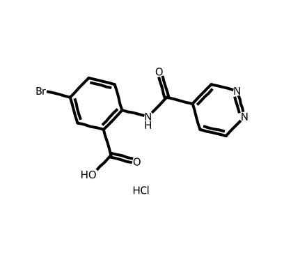 Cl.O=C(Nc1ccc(Br)cc1C(=O)O)c1ccnnc1